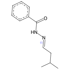 CC(C)C/C=N/NC(=O)c1ccccc1